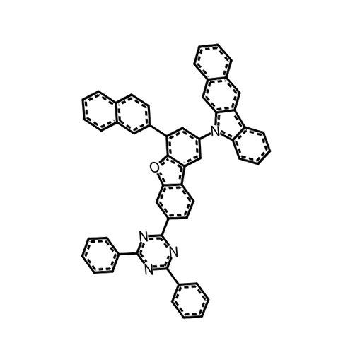 c1ccc(-c2nc(-c3ccccc3)nc(-c3ccc4c(c3)oc3c(-c5ccc6ccccc6c5)cc(-n5c6ccccc6c6cc7ccccc7cc65)cc34)n2)cc1